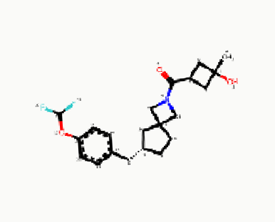 CC1(O)CC(C(=O)N2CC3(CC[C@H](Cc4ccc(OC(F)F)cc4)C3)C2)C1